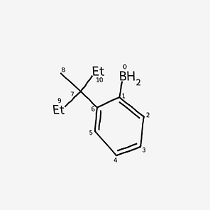 Bc1ccccc1C(C)(CC)CC